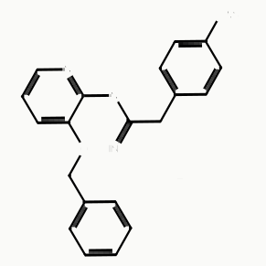 COc1ccc(CC(=N)Nc2ncccc2OCc2ccccc2)cc1.Cl